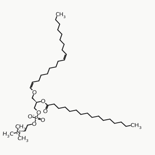 CCCCCCCC/C=C\CCCCCC/C=C\OC[C@H](COP(=O)([O-])OCC[N+](C)(C)C)OC(=O)CCCCCCCCCCCCCCC